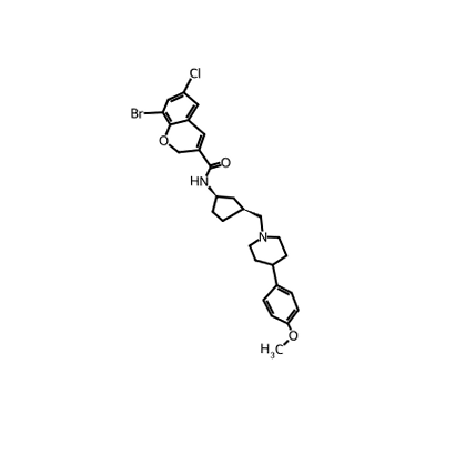 COc1ccc(C2CCN(C[C@H]3CC[C@@H](NC(=O)C4=Cc5cc(Cl)cc(Br)c5OC4)C3)CC2)cc1